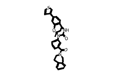 CC12CC(NC(=O)N1c1cccc(C(=O)N3CCc4ccccc4C3)c1)c1ccc(-c3ccsc3)cc1O2